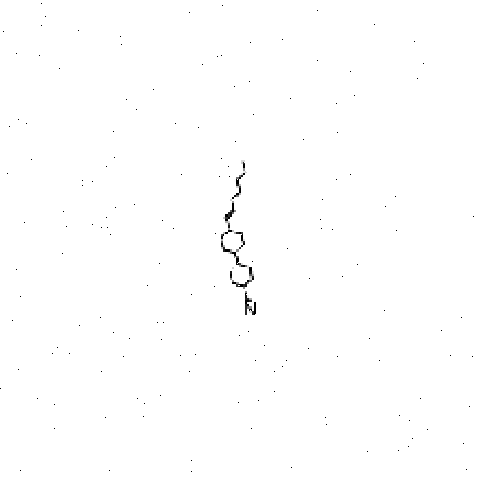 CCCCCC=C[C@H]1CC[C@H]([C@H]2CC[C@H](C#N)CC2)CC1